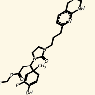 CCOC(=O)C[C@@H](N1CCN(CCCc2ccc3c(n2)NCCC3)C1=O)C1(C)C=C(F)C(O)=CC1